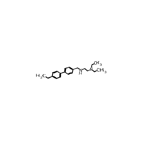 CCc1ccc(-c2ccc(CNCCN(CC)CC)cc2)cc1